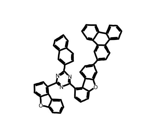 c1ccc2cc(-c3nc(-c4cccc5oc6ccccc6c45)nc(-c4cccc5oc6cc(-c7ccc8c9ccccc9c9ccccc9c8c7)ccc6c45)n3)ccc2c1